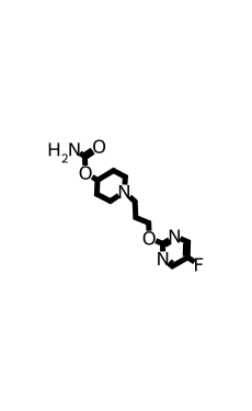 NC(=O)OC1CCN(CCCOc2ncc(F)cn2)CC1